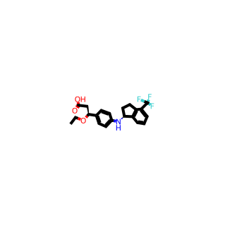 CCO[C@@H](CC(=O)O)c1ccc(N[C@@H]2CCc3c2cccc3C(F)(F)F)cc1